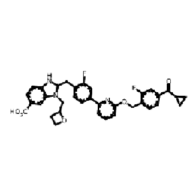 O=C(O)c1ccc2c(c1)N(CC1CCO1)C(Cc1ccc(-c3cccc(OCc4ccc(C(=O)C5CC5)cc4F)n3)cc1F)N2